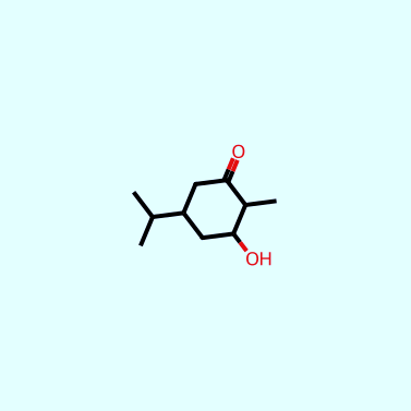 CC(C)C1CC(=O)C(C)C(O)C1